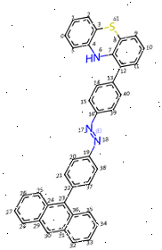 c1ccc2c(c1)Nc1c(cccc1-c1ccc(/N=N/c3ccc(-c4c5ccccc5cc5ccccc45)cc3)cc1)S2